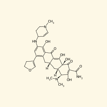 CN1C=CC(Nc2cc(C3=COCC3)c3c(c2O)C(=O)C2=C(O)[C@]4(O)C(=O)C(C(N)=O)=C(O)[C@@H](N(C)C)[C@@H]4C[C@@H]2C3)CC1